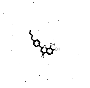 CCCCc1ccc(-c2cc(=O)c3ccc(O)c(O)c3o2)cc1